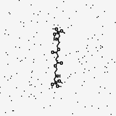 CO[Si](CNCCOC(=O)CCC(=O)OCCNC[Si](OC)(OC)OC)(OC)OC